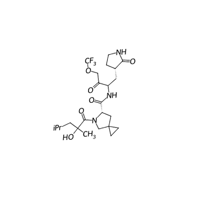 CC(C)CC(C)(O)C(=O)N1CC2(CC2)C[C@H]1C(=O)NC(C[C@@H]1CCNC1=O)C(=O)COC(F)(F)F